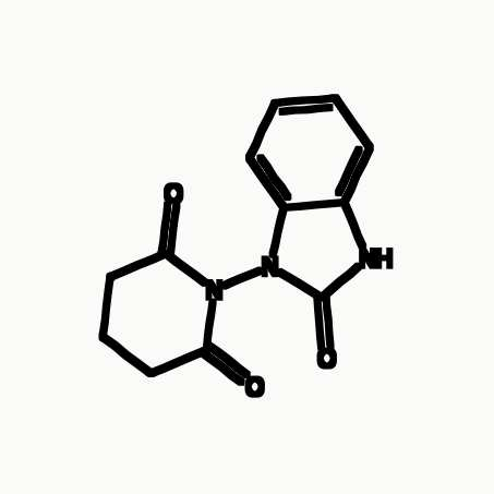 O=C1CCCC(=O)N1n1c(=O)[nH]c2ccccc21